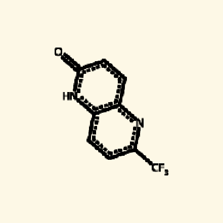 O=c1ccc2nc(C(F)(F)F)ccc2[nH]1